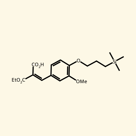 CCOC(=O)C(=Cc1ccc(OCCC[Si](C)(C)C)c(OC)c1)C(=O)O